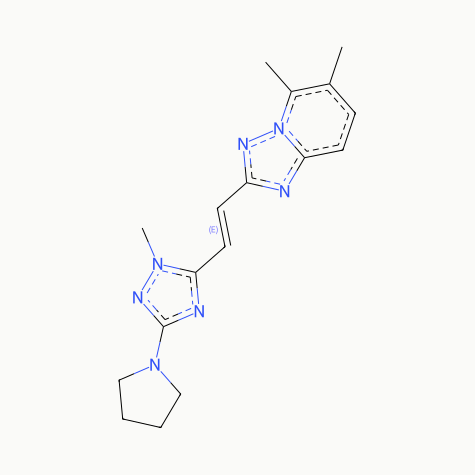 Cc1ccc2nc(/C=C/c3nc(N4CCCC4)nn3C)nn2c1C